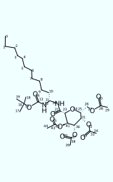 CCCCCCCCCCC[C@@H](NC(=O)OC(C)(C)C)NC(=O)[C@@H]1O[C@H](COC(C)=O)[C@H](OC(C)=O)[C@H](OC(C)=O)[C@H]1OC(C)=O